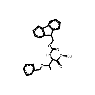 CC(OCc1ccccc1)C(NC(=O)OCC1c2ccccc2-c2ccccc21)C(=O)OC(C)(C)C